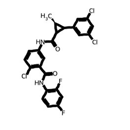 C[C@@H]1C(C(=O)Nc2ccc(Cl)c(C(=O)Nc3ccc(F)cc3F)c2)C1c1cc(Cl)cc(Cl)c1